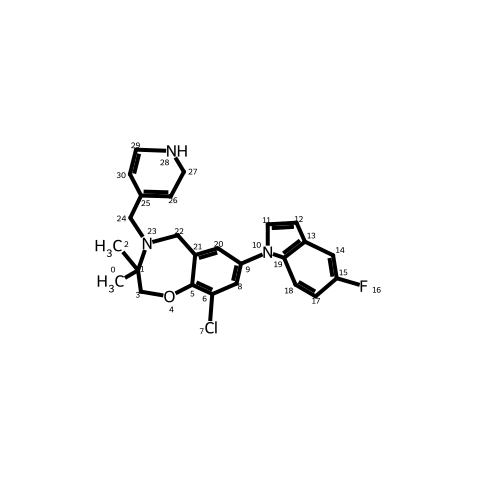 CC1(C)COc2c(Cl)cc(-n3ccc4cc(F)ccc43)cc2CN1CC1=CCNC=C1